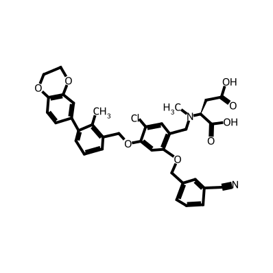 Cc1c(COc2cc(OCc3cccc(C#N)c3)c(CN(C)[C@@H](CC(=O)O)C(=O)O)cc2Cl)cccc1-c1ccc2c(c1)OCCO2